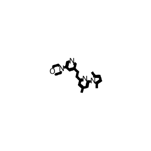 Cc1cc(CCc2cncc(N3CCOCC3)c2)nc(-n2c(C)ccc2C)c1